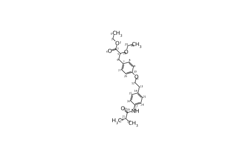 CCOC(=O)C(Cc1ccc(OCCc2ccc(NC(=O)C(C)C)cc2)cc1)OCC